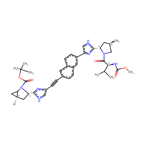 COC(=O)N[C@H](C(=O)N1C[C@H](C)C[C@H]1c1nc(-c2ccc3cc(C#Cc4c[nH]c([C@@H]5C[C@H]6CC6N5C(=O)OC(C)(C)C)n4)ccc3c2)c[nH]1)C(C)C